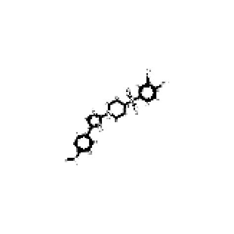 COc1ccc(-c2csc(N3CCC(S(=O)(=O)c4ccc(F)c(Cl)c4)CC3)n2)cc1